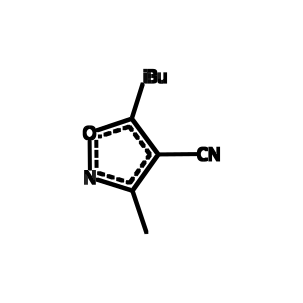 CCC(C)c1onc(C)c1C#N